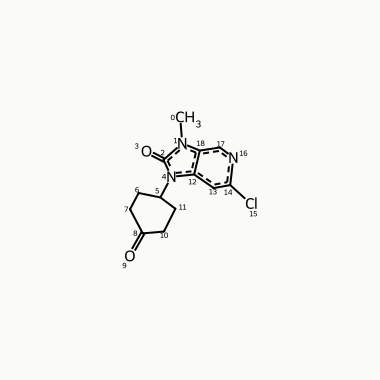 Cn1c(=O)n(C2CCC(=O)CC2)c2cc(Cl)ncc21